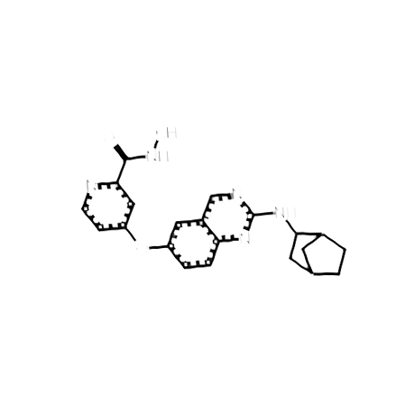 CNC(=O)c1cc(Oc2ccc3nc(NC4CC5CCC4C5)ncc3c2)ccn1